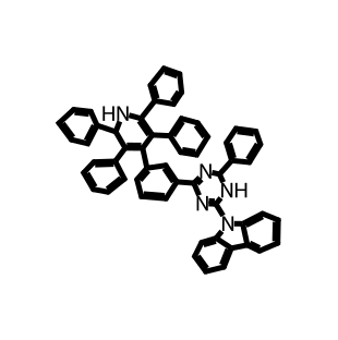 c1ccc(C2=C(c3ccccc3)C(c3cccc(C4=NC(c5ccccc5)NC(n5c6ccccc6c6ccccc65)=N4)c3)=C(c3ccccc3)C(c3ccccc3)N2)cc1